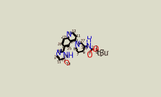 CC(C)(C)OC(=O)N[C@H]1CCCN(c2ccnc3ccc(-c4nccc(=O)[nH]4)cc23)C1